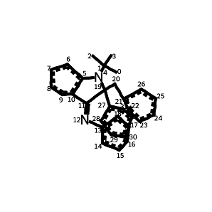 CC(C)(C)N1c2ccccc2/C(=N/c2ccccc2)C1(Cc1ccccc1)c1ccccc1